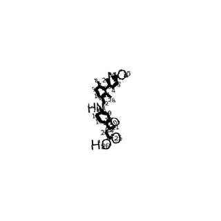 COc1ccc(-c2c(C)ccc(CNc3ccc4c(c3)OC[C@H]4CC(=O)O)c2C)cn1